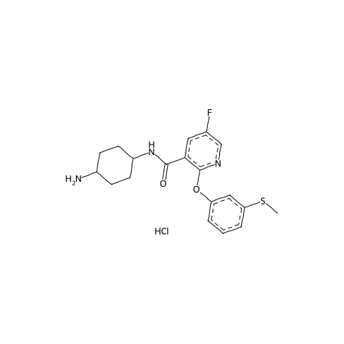 CSc1cccc(Oc2ncc(F)cc2C(=O)NC2CCC(N)CC2)c1.Cl